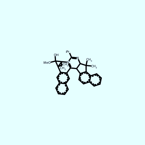 COC1(O)C2(C)c3cc4ccccc4cc3C3=[N+](C(C(C)C)=NC4C3c3ccc5ccccc5c3C4(C)C)C12C